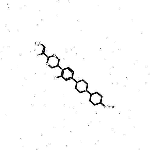 CCCCCC1CCC(C2CCC(c3ccc(C4COC(/C(F)=C/C(F)(F)F)OC4)c(F)c3)CC2)CC1